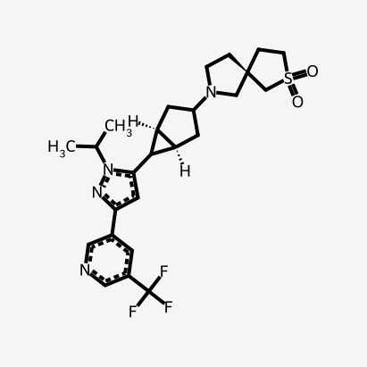 CC(C)n1nc(-c2cncc(C(F)(F)F)c2)cc1C1[C@H]2CC(N3CC[C@]4(CCS(=O)(=O)C4)C3)C[C@@H]12